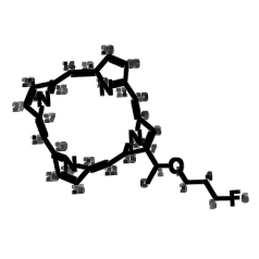 CC(OCCCF)C1=CC2=CC3=NC(=CC4=NC(=CC5=NC(=CC1=N2)C=C5)C=C4)C=C3